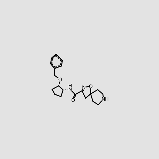 O=C(N[C@@H]1CCC[C@H]1OCc1ccccc1)C1=NOC2(CCNCC2)C1